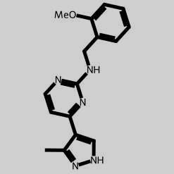 COc1ccccc1CNc1nccc(-c2c[nH]nc2C)n1